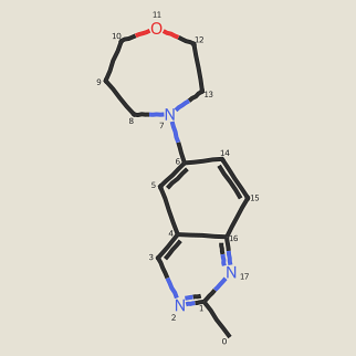 Cc1ncc2cc(N3CCCOCC3)ccc2n1